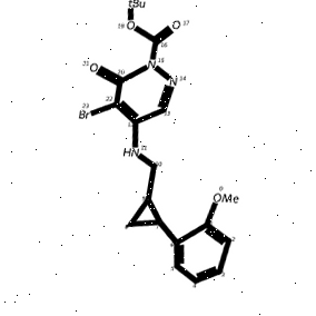 COc1ccccc1C1CC1CNc1cnn(C(=O)OC(C)(C)C)c(=O)c1Br